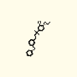 CCOc1ccc(C(C)(C)C[CH]c2cccc(Oc3ccccc3)c2)cc1Cl